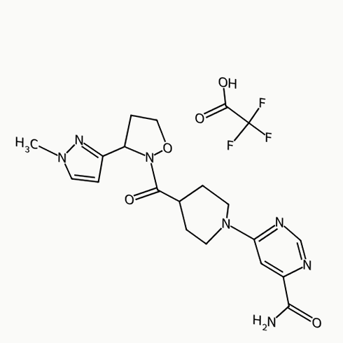 Cn1ccc(C2CCON2C(=O)C2CCN(c3cc(C(N)=O)ncn3)CC2)n1.O=C(O)C(F)(F)F